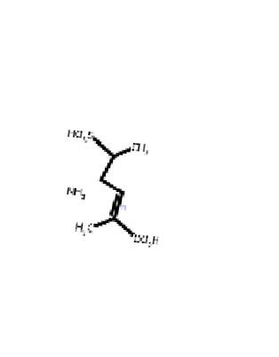 C/C(=C\CC(C)S(=O)(=O)O)C(=O)O.N